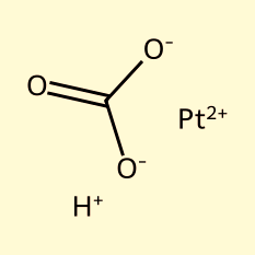 O=C([O-])[O-].[H+].[Pt+2]